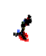 CNC(=O)CN(C[C@H](O)[C@@H](O)[C@H](O)[C@H](O)CO)C(=O)CCCSc1ccc(Cl)c(COC2(c3cnccc3-c3ccccc3OC3CC3)CC2)c1